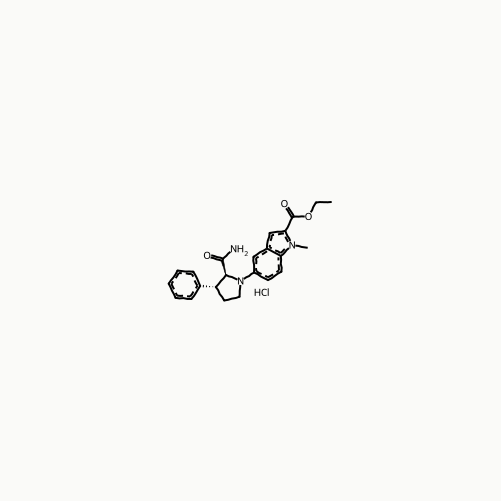 CCOC(=O)c1cc2cc(N3CC[C@H](c4ccccc4)[C@H]3C(N)=O)ccc2n1C.Cl